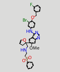 COc1cc2ncnc(Nc3ccc(OCc4cccc(F)c4)c(Br)c3)c2cc1C1(CNCCS(=O)(=O)c2ccccc2)CC=CO1